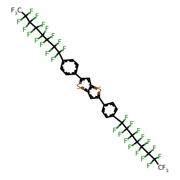 FC(F)(F)C(F)(F)C(F)(F)C(F)(F)C(F)(F)C(F)(F)C(F)(F)C(F)(F)c1ccc(-c2cc3sc(-c4ccc(C(F)(F)C(F)(F)C(F)(F)C(F)(F)C(F)(F)C(F)(F)C(F)(F)C(F)(F)F)cc4)cc3s2)cc1